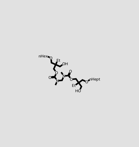 CCCCCCCOCC(CC)(CO)COC(=O)N(C)CN(C)C(=O)OCC(CC)(CO)COCCCCCC